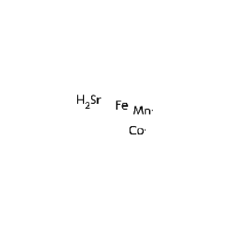 [Co].[Fe].[Mn].[SrH2]